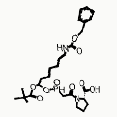 CC(C)(C)C(=O)OC(CCCCCCNC(=O)OCc1ccccc1)O[PH](=O)CC(=O)N1CCC[C@H]1C(=O)O